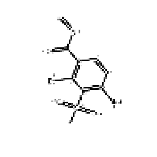 C=NC(=O)c1ccc(C(C)CC)c(S(C)(=O)=O)c1CC